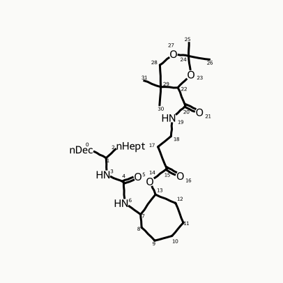 CCCCCCCCCCC(CCCCCCC)NC(=O)NC1CCCCCC1OC(=O)CCNC(=O)C1OC(C)(C)OCC1(C)C